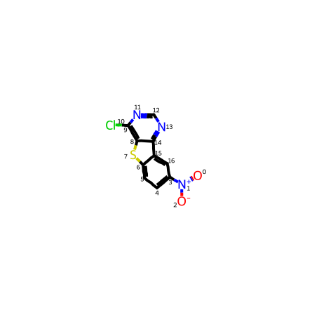 O=[N+]([O-])c1ccc2sc3c(Cl)ncnc3c2c1